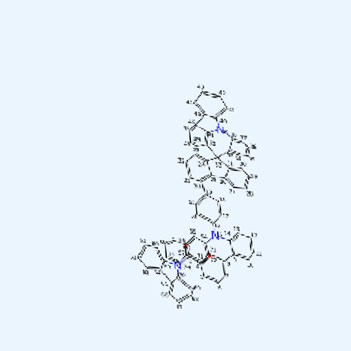 c1ccc(-c2cccc(-c3ccccc3N(c3ccc(-c4cccc5c4-c4ccccc4C54c5ccccc5-n5c6ccccc6c6cccc4c65)cc3)c3ccc(-n4c5ccccc5c5ccccc54)cc3)c2)cc1